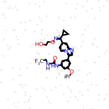 CC(C)Oc1cc(NC(=O)NCC(F)(F)F)cc(-c2cnc3cc(/C(=N\OCCO)C4CC4)ccn23)c1